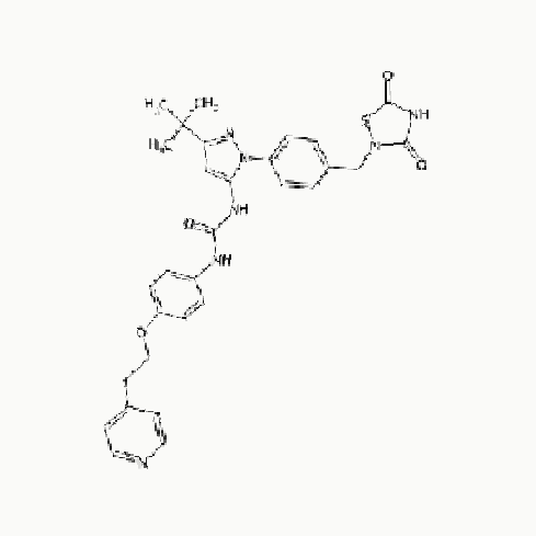 CC(C)(C)c1cc(NC(=O)Nc2ccc(OCCc3ccncc3)cc2)n(-c2ccc(Cn3sc(=O)[nH]c3=O)cc2)n1